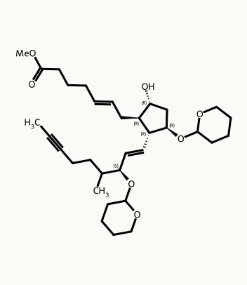 CC#CCCC(C)[C@@H](C=C[C@@H]1[C@@H](CC=CCCCC(=O)OC)[C@H](O)C[C@H]1OC1CCCCO1)OC1CCCCO1